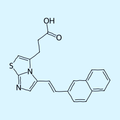 O=C(O)CCc1csc2ncc(C=Cc3ccc4ccccc4c3)n12